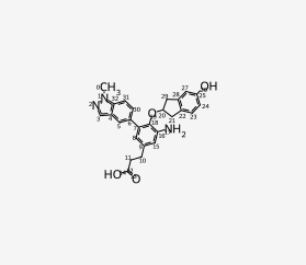 Cn1ncc2cc(-c3cc(CCC(=O)O)cc(N)c3OC3Cc4ccc(O)cc4C3)ccc21